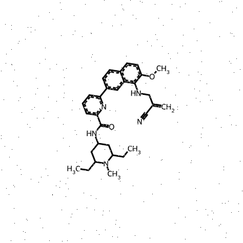 C=C(C#N)CNc1c(OC)ccc2ccc(-c3cccc(C(=O)NC4CC(CC)N(C)C(CC)C4)n3)cc12